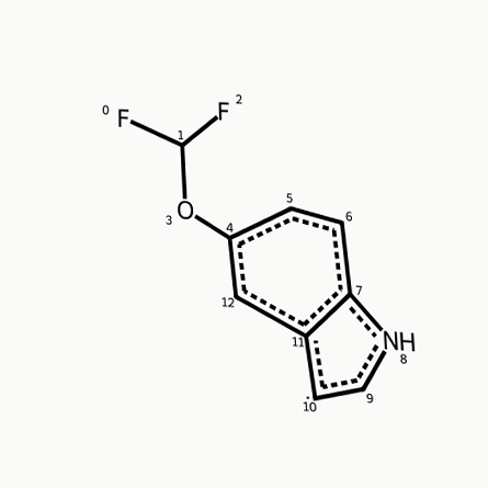 FC(F)Oc1ccc2[nH]c[c]c2c1